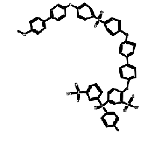 COc1ccc(-c2ccc(Oc3ccc(S(=O)(=O)c4ccc(Oc5ccc(-c6ccc(Oc7ccc(P(=O)(c8ccc(C)cc8)c8cccc(S(=O)(=O)O)c8)cc7S(=O)(=O)O)cc6)cc5)cc4)cc3)cc2)cc1